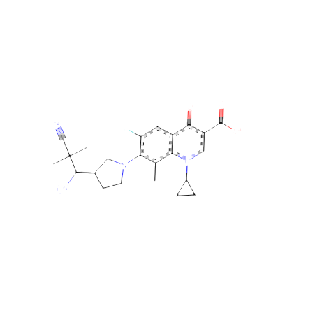 Cc1c(N2CCC(C(N)C(C)(C)C#N)C2)c(F)cc2c(=O)c(C(=O)O)cn(C3CC3)c12